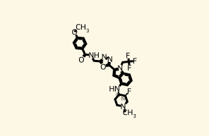 COc1ccc(C(=O)NCc2nnc(-c3cc4c(N[C@@H]5CCN(C)C[C@@H]5F)cccc4n3CC(F)(F)F)o2)cc1